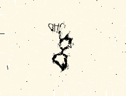 O=Cc1ccnc(-c2ccccc2)n1